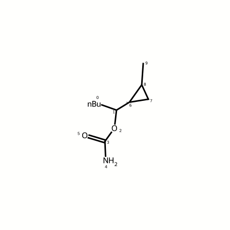 [CH2]CCCC(OC(N)=O)[C]1CC1C